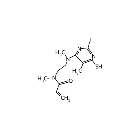 C=CC(=O)N(C)CCN(C)c1nc(I)nc(S)c1C